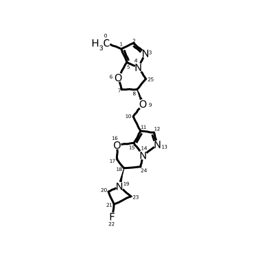 Cc1cnn2c1OC[C@H](OCc1cnn3c1OC[C@H](N1CC(F)C1)C3)C2